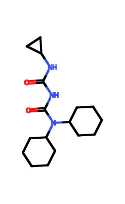 O=C(NC(=O)N(C1CCCCC1)C1CCCCC1)NC1CC1